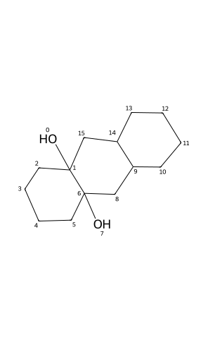 OC12CCCCC1(O)CC1CCCCC1C2